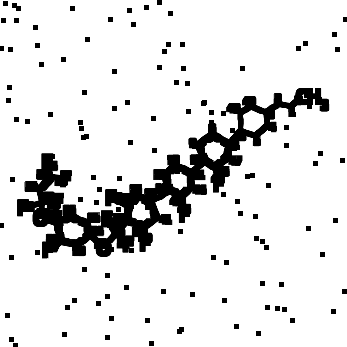 CCCC1CCC(c2ccc(-c3ccc(-c4cc(F)c(C(F)(F)Oc5ccc(OC(F)(F)C=C(F)F)c(F)c5)c(F)c4)c(F)c3)c(F)c2)CC1